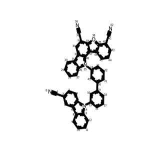 N#Cc1ccc2c(c1)c1ccccc1n2-c1cccc(-c2cccc(-n3c4ccccc4c4cc(C#N)c5oc6c(C#N)cccc6c5c43)c2)c1